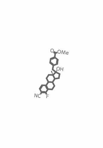 COC(=O)c1ccc(C[C@]2(O)CCC3C4CCc5c(ccc(C#N)c5F)C4CC[C@@]32C)cc1